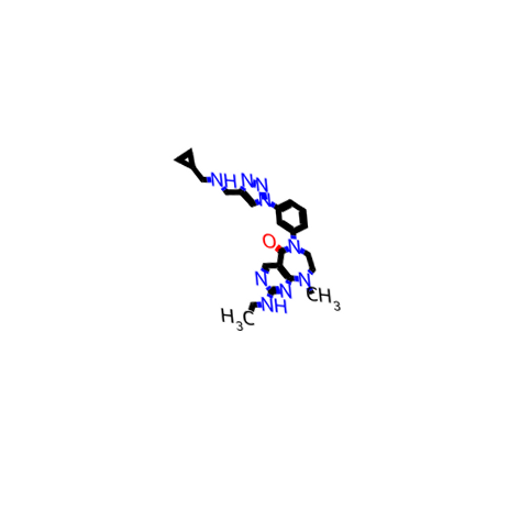 CCNc1ncc2c(n1)N(C)CCN(c1cccc(-n3cc(CNCC4CC4)nn3)c1)C2=O